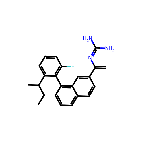 C=C(N=C(N)N)c1ccc2cccc(-c3c(F)cccc3C(C)CC)c2c1